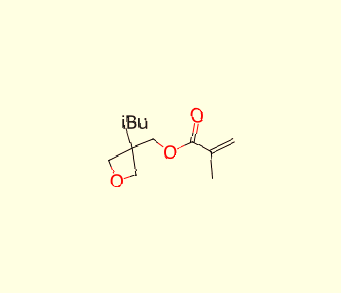 C=C(C)C(=O)OCC1(C(C)CC)COC1